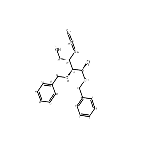 CC[C@@H](OCc1ccccc1)[C@@H](OCc1ccccc1)[C@H](CO)N=[N+]=[N-]